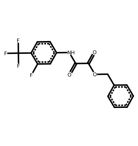 O=C(Nc1ccc(C(F)(F)F)c(F)c1)C(=O)OCc1ccccc1